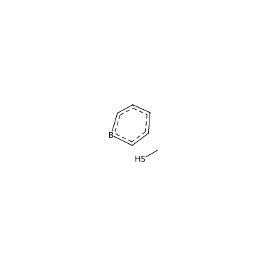 CS.b1ccccc1